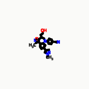 Cc1noc2c1-c1ccc(-c3cnn(C)c3)cc1N(c1ccc(C#N)cc1)CC2CCO